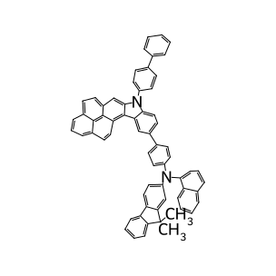 CC1(C)c2ccccc2-c2ccc(N(c3ccc(-c4ccc5c(c4)c4c6ccc7cccc8ccc(cc4n5-c4ccc(-c5ccccc5)cc4)c6c87)cc3)c3cccc4ccccc34)cc21